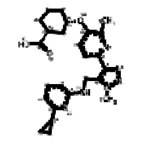 Cc1nc(-c2nnn(C)c2CNc2cccc(C3CC3)n2)ccc1O[C@H]1CCC[C@H](C(=O)O)C1